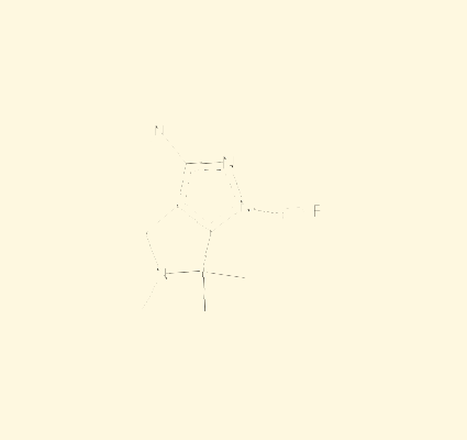 CCOC(=O)n1nc(N)c2c1C(C)(C)N(C)C2